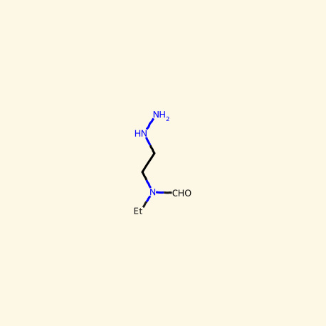 CCN(C=O)CCNN